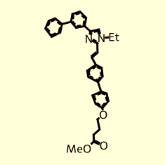 CCn1cc(-c2cccc(-c3ccccc3)c2)nc1C=Cc1ccc(-c2ccc(OCCCC(=O)OC)cc2)cc1